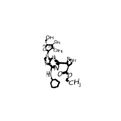 CCOC(=O)c1c[nH]nc1-c1nc(NC2CCCCC2)c2ncn(C3O[C@H](CO)[C@@H](O)[C@H]3O)c2n1